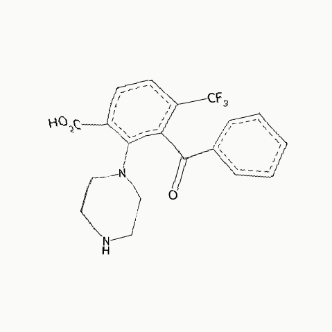 O=C(O)c1ccc(C(F)(F)F)c(C(=O)c2ccccc2)c1N1CCNCC1